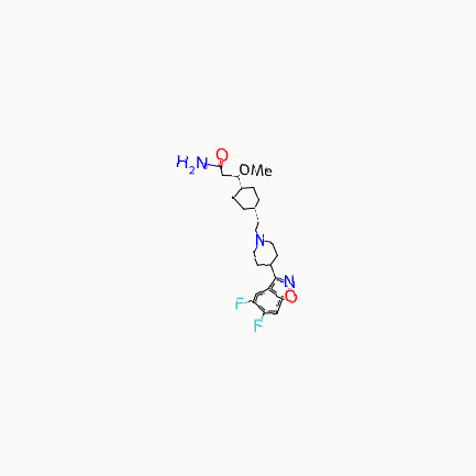 COC(CC(N)=O)C1CCC(CCN2CCC(c3noc4cc(F)c(F)cc34)CC2)CC1